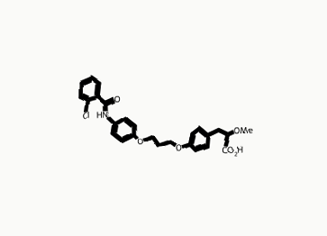 COC(Cc1ccc(OCCCOc2ccc(NC(=O)c3ccccc3Cl)cc2)cc1)C(=O)O